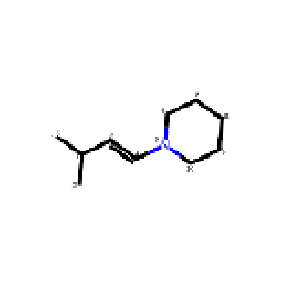 [CH2]C(C)C=CN1CCCCC1